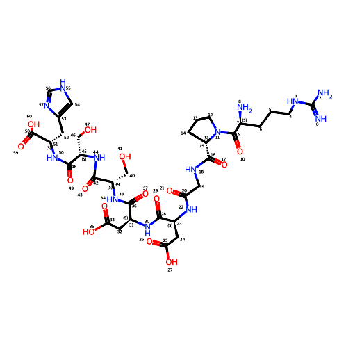 N=C(N)NCCC[C@H](N)C(=O)N1CCC[C@H]1C(=O)NCC(=O)N[C@@H](CC(=O)O)C(=O)N[C@@H](CC(=O)O)C(=O)N[C@@H](CO)C(=O)N[C@@H](CO)C(=O)N[C@@H](Cc1c[nH]cn1)C(=O)O